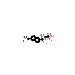 C=C(C)c1ccc2cc(C(C)(C)OC(C)C(C)(O)C(F)(F)F)ccc2c1